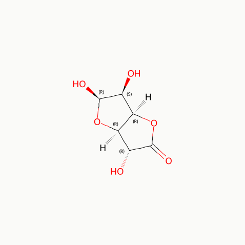 O=C1O[C@@H]2[C@H](O)[C@H](O)O[C@@H]2[C@H]1O